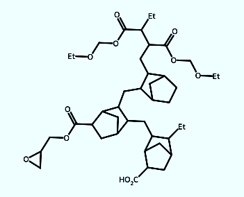 CCOCOC(=O)C(CC)C(CC1C2CCC(C2)C1CC1C(CC2C(CC)C3CC(C(=O)O)C2C3)C2CC(C(=O)OCC3CO3)C1C2)C(=O)OCOCC